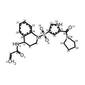 C=CC(=O)NC1CCN(S(=O)(=O)c2c[nH]c(C(=O)N3CCCC3)c2)c2ccccc21